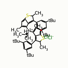 CC1=[C]([Hf+2]([C]2=C(C)C=C3SC(C)C(c4cc(C(C)(C)C)cc(C(C)(C)C)c4)=C32)=[Si](C)C)C2=C(c3cc(C(C)(C)C)cc(C(C)(C)C)c3)C(C)SC2=C1.[Cl-].[Cl-]